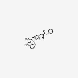 CC(C)(Cn1cc(CNC(=O)Cc2ccccc2)nn1)c1c[nH]c2ccccc12